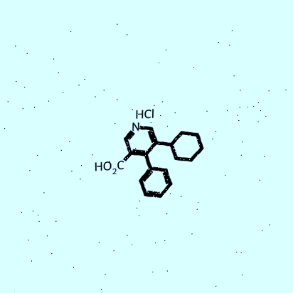 Cl.O=C(O)c1cncc(C2CCCCC2)c1-c1ccccc1